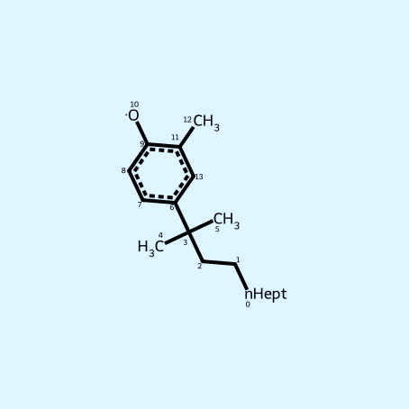 CCCCCCCCCC(C)(C)c1ccc([O])c(C)c1